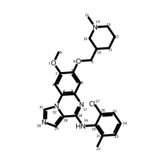 COc1cc2c(cc1OCC1CCCN(C)C1)nc(Nc1c(C)cccc1Cl)c1cncn12